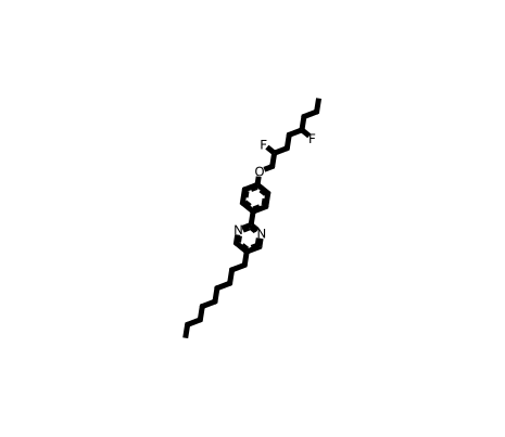 CCCCCCCCCc1cnc(-c2ccc(OCC(F)CCC(F)CCC)cc2)nc1